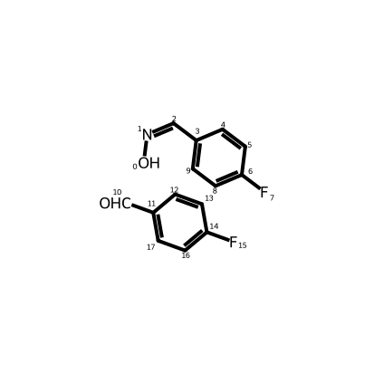 O/N=C\c1ccc(F)cc1.O=Cc1ccc(F)cc1